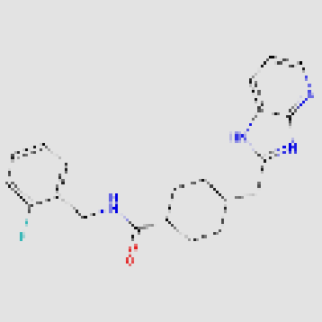 O=C(NCc1ccccc1F)[C@H]1CC[C@@H](Cc2nc3ncccc3[nH]2)CC1